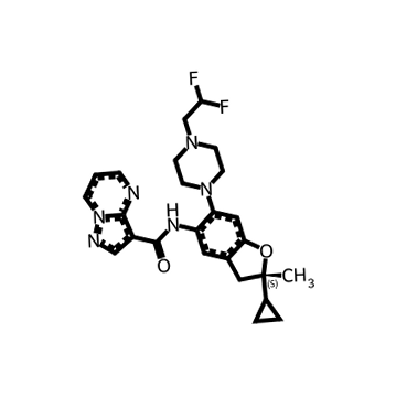 C[C@@]1(C2CC2)Cc2cc(NC(=O)c3cnn4cccnc34)c(N3CCN(CC(F)F)CC3)cc2O1